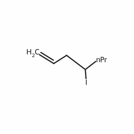 C=CCC(I)CCC